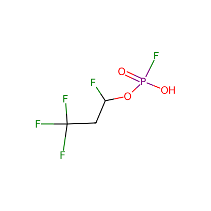 O=P(O)(F)OC(F)CC(F)(F)F